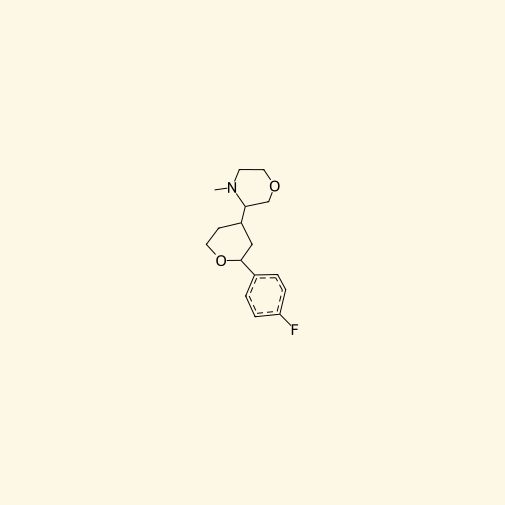 CN1CCOCC1C1CCOC(c2ccc(F)cc2)C1